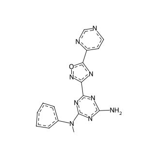 CN(c1ccccc1)c1nc(N)nc(-c2noc(-c3ccncn3)n2)n1